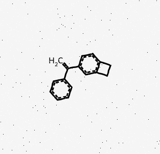 C=C(c1ccccc1)c1ccc2c(c1)CC2